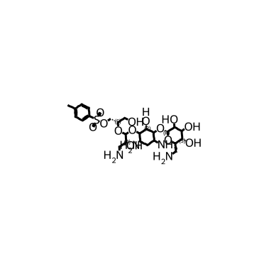 Cc1ccc(S(=O)(=O)OC[C@H](CO)OC(OC2C(N)CC(N)C(O[C@H]3OC(CN)[C@@H](O)C(O)C3O)[C@@H]2O)[C@H](O)CN)cc1